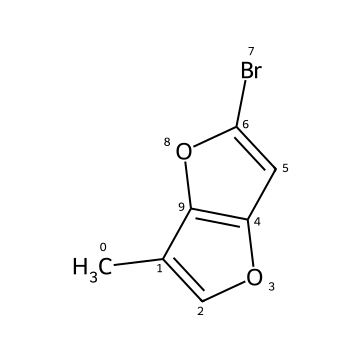 Cc1coc2cc(Br)oc12